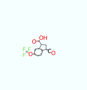 O=C=C1CC(C(=O)O)c2cc(OC(F)(F)F)ccc21